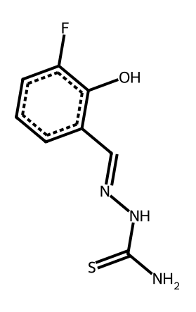 NC(=S)N/N=C/c1cccc(F)c1O